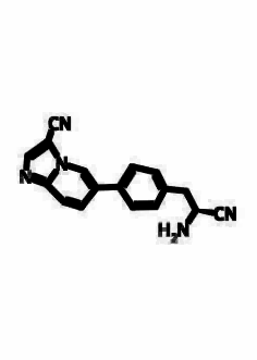 N#Cc1cnc2ccc(-c3ccc(C[C@H](N)C#N)cc3)cn12